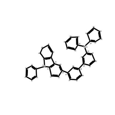 C1=Cc2c(n(-c3ccccc3)c3ccc(-c4cccc(-c5cccc(N(c6ccccc6)c6ccccc6)c5)c4)cc23)CC1